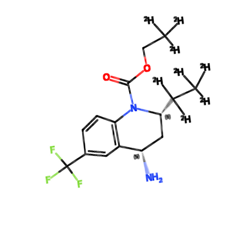 [2H]C([2H])([2H])COC(=O)N1c2ccc(C(F)(F)F)cc2[C@@H](N)C[C@H]1C([2H])([2H])C([2H])([2H])[2H]